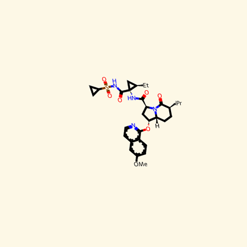 CC[C@@H]1C[C@]1(NC(=O)[C@@H]1C[C@@H](Oc2nccc3cc(OC)ccc23)[C@H]2CC[C@H](C(C)C)C(=O)N21)C(=O)NS(=O)(=O)C1CC1